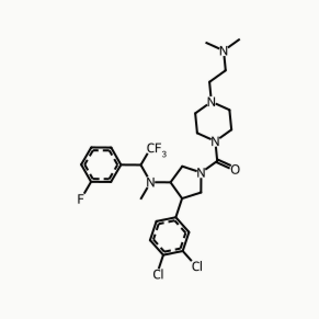 CN(C)CCN1CCN(C(=O)N2CC(c3ccc(Cl)c(Cl)c3)C(N(C)C(c3cccc(F)c3)C(F)(F)F)C2)CC1